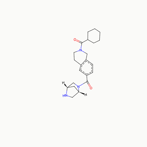 O=C(C1CCCCC1)N1CCc2cc(C(=O)N3C[C@@H]4C[C@H]3CN4)ccc2C1